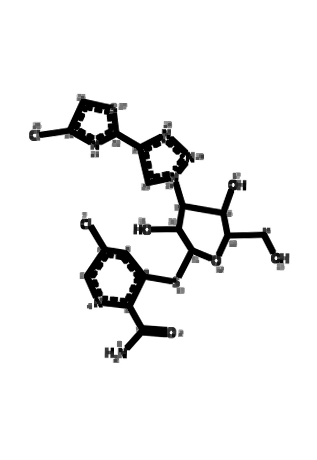 NC(=O)c1ncc(Cl)cc1SC1OC(CO)C(O)C(n2cc(-c3nc(Cl)cs3)nn2)C1O